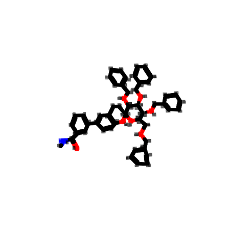 CNC(=O)c1cccc(-c2ccc3c(c2)CC[C@]2(O3)O[C@H](COCc3ccccc3)[C@@H](OCc3ccccc3)[C@H](OCc3ccccc3)[C@@H]2OCc2ccccc2)c1